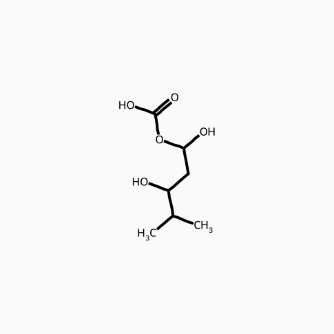 CC(C)C(O)CC(O)OC(=O)O